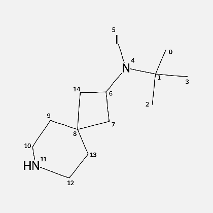 CC(C)(C)N(I)C1CC2(CCNCC2)C1